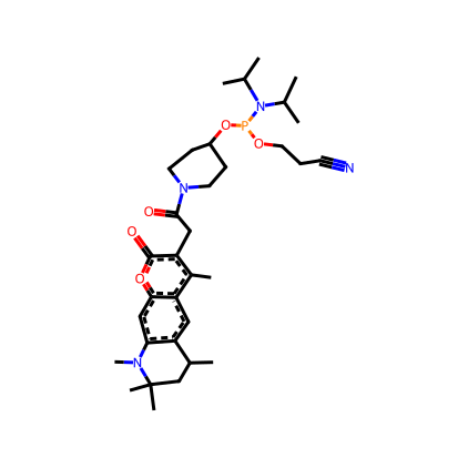 Cc1c(CC(=O)N2CCC(OP(OCCC#N)N(C(C)C)C(C)C)CC2)c(=O)oc2cc3c(cc12)C(C)CC(C)(C)N3C